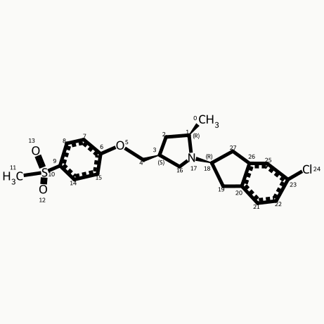 C[C@@H]1C[C@H](COc2ccc(S(C)(=O)=O)cc2)CN1[C@@H]1Cc2ccc(Cl)cc2C1